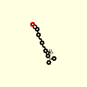 CCC1(CC)c2cc(/C=C/c3ccc(/C=C/c4ccc(-c5ccc6c(c5)C5C7=C(CCC=C7)C6c6ccccc65)cc4)cc3)ccc2-c2ccc(N(c3ccccc3)c3ccccc3)cc21